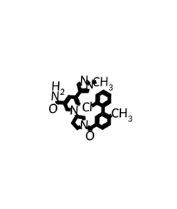 Cc1ccc(C(=O)N2CCC(N3C=C(c4cnn(C)c4)C=C(C(N)=O)C3)C2)cc1-c1ccccc1Cl